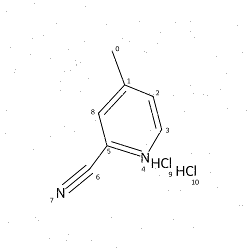 Cc1ccnc(C#N)c1.Cl.Cl